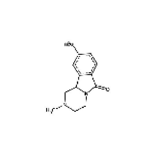 CCCCc1ccc2c(c1)C1CN(C)CCN1C2=O